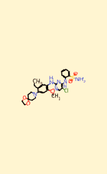 CCc1cc(Nc2ncc(Cl)c(Nc3ccccc3S(N)(=O)=O)n2)c(OC)cc1N1CCC2(CC1)OCCO2